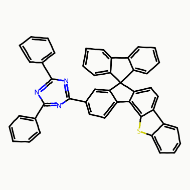 c1ccc(-c2nc(-c3ccccc3)nc(-c3ccc4c(c3)C3(c5ccccc5-c5ccccc53)c3ccc5c(sc6ccccc65)c3-4)n2)cc1